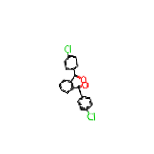 O=C(c1ccc(Cl)cc1)c1ccccc1C(=O)c1ccc(Cl)cc1